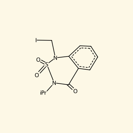 CC(C)N1C(=O)c2ccccc2N(CI)S1(=O)=O